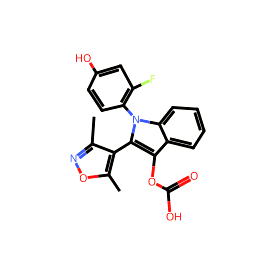 Cc1noc(C)c1-c1c(OC(=O)O)c2ccccc2n1-c1ccc(O)cc1F